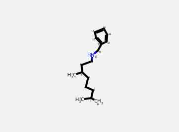 CC(C)CCCC(C)CCNCc1ccccc1